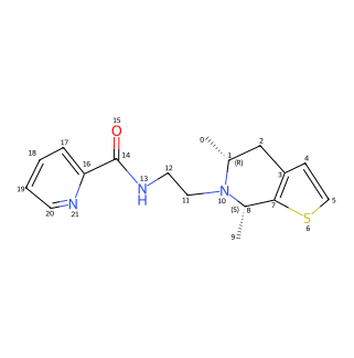 C[C@@H]1Cc2ccsc2[C@H](C)N1CCNC(=O)c1ccccn1